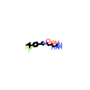 O=C(CC(O)Cc1cnn[nH]1)N1CC(c2ccc(C3(C(F)(F)F)CC3)cc2)C1